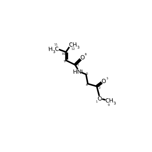 COC(=O)CCNC(=O)C=C(C)C